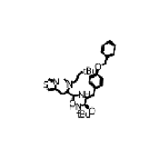 CN(CCC(C)(C)C)C(Cc1cscn1)C(=O)NC(Cc1ccc(OCc2ccccc2)cc1)C(=O)NC(C)(C)C